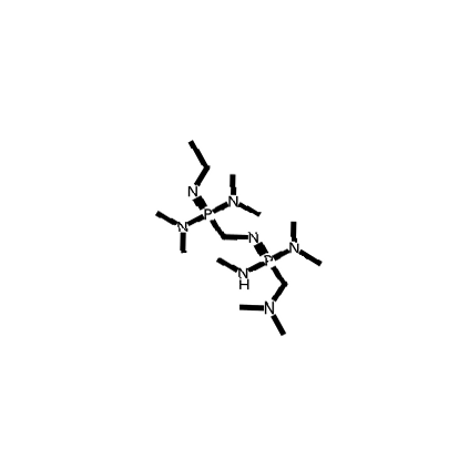 CCN=P(CN=P(CN(C)C)(NC)N(C)C)(N(C)C)N(C)C